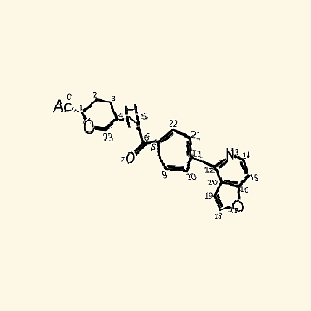 CC(=O)[C@@H]1CC[C@@H](NC(=O)c2ccc(-c3nccc4occc34)cc2)CO1